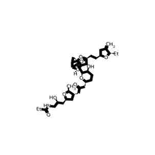 C=C1C[C@H](CC[C@]23CC4OC(C5C[C@]45O2)[C@H]([C@H]2O[C@@H](CC(=O)C[C@@H]4C[C@@H](C[C@H](O)CNC(=O)CC)O[C@H]4C)CC[C@@H]2O)O3)O[C@H]1CC